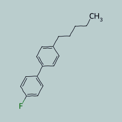 CCCCCc1ccc(-c2ccc(F)cc2)cc1